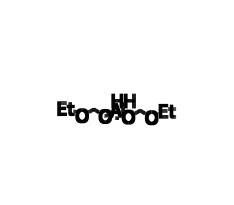 CCOC[O][Al][O]COCC.[HH]